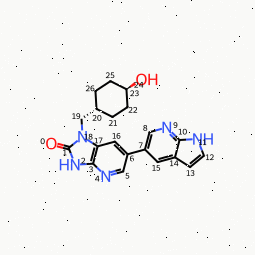 O=c1[nH]c2ncc(-c3cnc4[nH]ccc4c3)cc2n1C[C@H]1CC[C@H](O)CC1